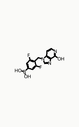 OB(O)c1cc(F)c(Cn2cnc3c(O)nccc32)c(F)c1